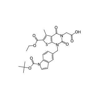 CCOC(=O)c1sc2c(c1C)c(=O)n(CC(=O)O)c(=O)n2Cc1ccc2c(ccn2C(=O)OC(C)(C)C)c1